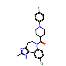 Cc1ccc(N2CCC(C(=O)N3CCc4nc(C)[nH]c4-c4cc(Cl)ccc43)CC2)cc1